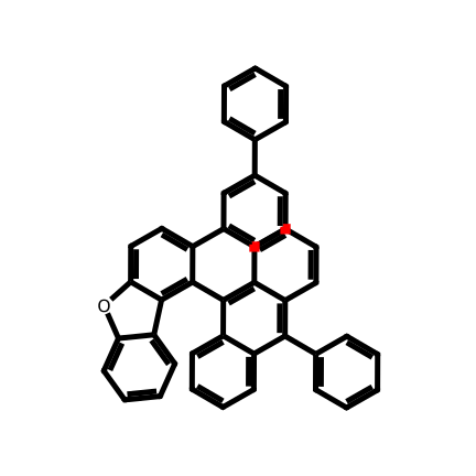 c1ccc(-c2cccc(-c3ccc4oc5ccccc5c4c3-c3c4ccccc4c(-c4ccccc4)c4ccccc34)c2)cc1